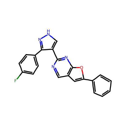 Fc1ccc(-c2n[nH]cc2-c2ncc3cc(-c4ccccc4)oc3n2)cc1